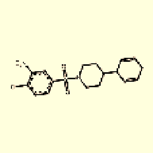 O=[N+]([O-])c1cc(S(=O)(=O)N2CCC(C3C=CCC=C3)CC2)ccc1Cl